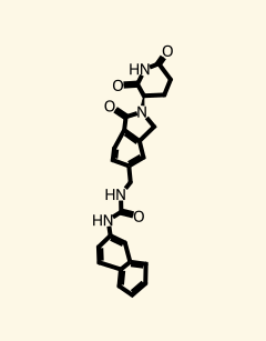 O=C1CC[C@@H](N2Cc3cc(CNC(=O)Nc4ccc5ccccc5c4)ccc3C2=O)C(=O)N1